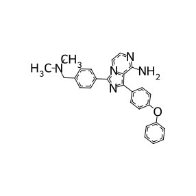 CN(C)Cc1ccc(-c2nc(-c3ccc(Oc4ccccc4)cc3)c3c(N)nccn23)cc1